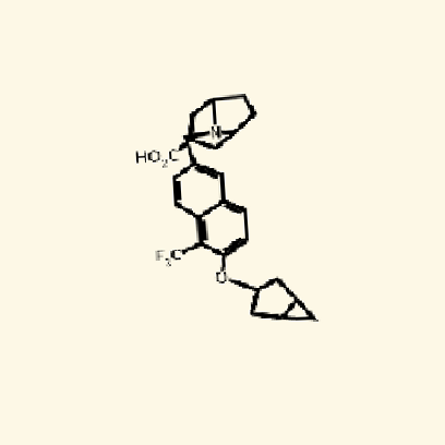 O=C(O)C1CC2CCC(C1)N2Cc1ccc2c(C(F)(F)F)c(OC3CC4CC4C3)ccc2c1